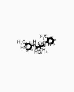 C[C@H]1C[C@@H](NC(=O)C(C)(C)COc2ncccc2C(F)(F)F)CCN1.Cl